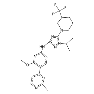 COc1cc(Nc2nc(N3CCCC(C(F)(F)F)C3)n(C(C)C)n2)ccc1-c1ccnc(C)c1